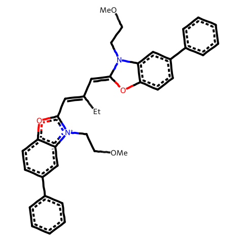 CCC(/C=C1\Oc2ccc(-c3ccccc3)cc2N1CCOC)=C\c1oc2ccc(-c3ccccc3)cc2[n+]1CCOC